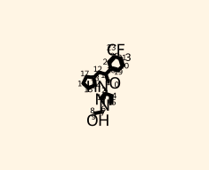 O=C(Nc1ccn(CCO)n1)C(CC1CCCC1)c1cccc(C(F)(F)F)c1